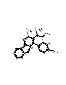 Cc1ccc(-c2c(C(OC(C)(C)C)C(=O)O)c(C)nc3c4ccccc4nn23)cc1